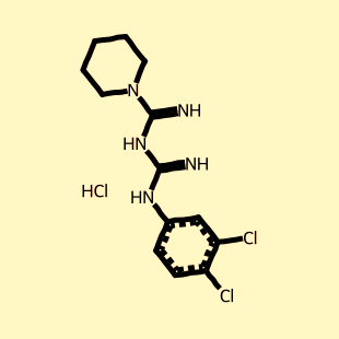 Cl.N=C(NC(=N)N1CCCCC1)Nc1ccc(Cl)c(Cl)c1